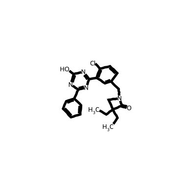 CCC1(CC)CN(Cc2ccc(Cl)c(-c3nc(O)nc(-c4ccccc4)n3)c2)C1=O